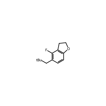 CC(C)(C)Cc1ccc2c(c1F)CCO2